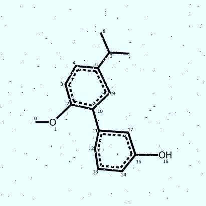 COc1ccc(C(C)C)cc1-c1cccc(O)c1